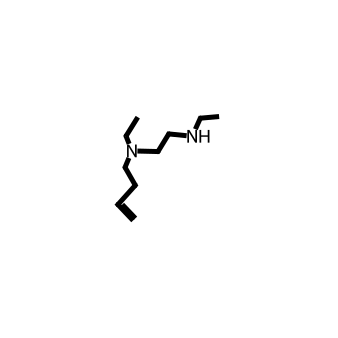 C=CCCN(CC)CCNCC